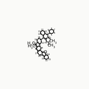 C/C=c1/c(-c2ccccc2)c2ccccc2c(-c2ccc3c(c2)-c2cc4c(ccc5c6ccccc6oc45)cc2C3(C)C)/c1=C/CC